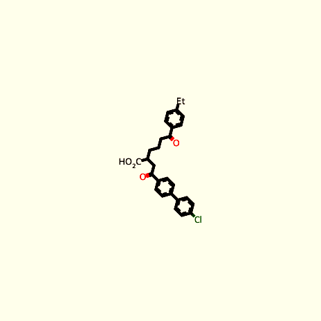 CCc1ccc(C(=O)CCCC(CC(=O)c2ccc(-c3ccc(Cl)cc3)cc2)C(=O)O)cc1